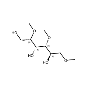 COC[C@@H](O)[C@@H](OC)[C@H](O)[C@H](CO)OC